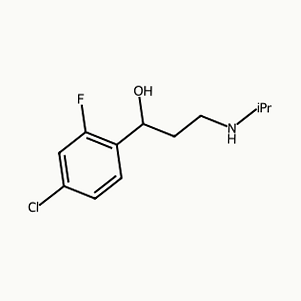 CC(C)NCCC(O)c1ccc(Cl)cc1F